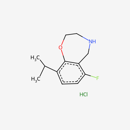 CC(C)c1ccc(F)c2c1OCCNC2.Cl